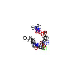 CCN(CC)[N+]([O-])=NOCOC(=O)c1cccc(CNS(=O)(=O)c2cc(C(=O)NN3c4ccc([N+](=O)[O-])cc4CC3C)ccc2Cl)c1